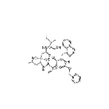 C=C[C@H](NC(=O)[C@H](Cc1cccc2ccccc12)NC(=O)OCc1ccccc1)C(=O)NC(CC(C)C)P(=O)(O)CC(=O)N[C@H](CO)C(C)CC